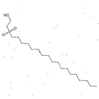 CCCCCCCCCCCCCCCCCCS(=O)(=O)CCO